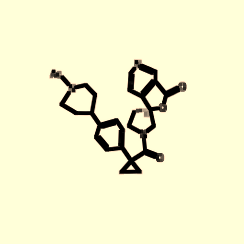 CC(=O)N1CCC(c2ccc(C3(C(=O)N4CC[C@@]5(C4)OC(=O)c4cnccc45)CC3)cc2)CC1